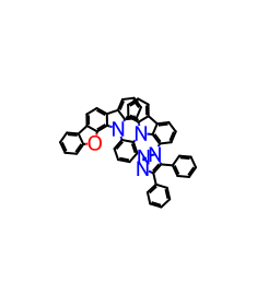 c1ccc(-c2nnn(-c3cccc4c5ccccc5n(-c5ccccc5-n5c6ccccc6c6ccc7c8ccccc8oc7c65)c34)c2-c2ccccc2)cc1